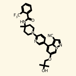 CC(C)(O)COc1cc(-c2ccc(N3CCC(C)(NC(=O)c4ccccc4C(F)(F)F)CC3)nc2)c2c(C#N)cnn2c1